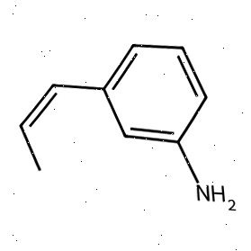 C/C=C\c1cccc(N)c1